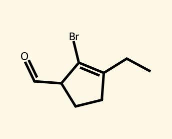 CCC1=C(Br)C(C=O)CC1